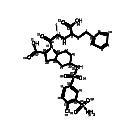 C[C@H](NC(CCc1ccccc1)C(=O)O)C(=O)N1C(C(=O)O)CC2CC(NS(=O)(=O)c3ccc(Cl)c(S(N)(=O)=O)c3)CCC21